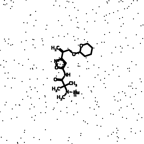 C=C(COC1CCCCO1)c1cc(NC(=O)C(C)(C)N(C)[C@@H](C)CC)on1